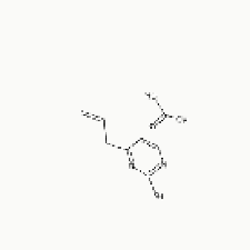 C=CCc1ccnc(S)n1.O=C(O)O